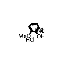 COc1ccccc1O.Cl.Cl.Cl